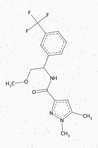 COCC(NC(=O)c1cc(C)n(C)n1)c1cccc(C(F)(F)F)c1